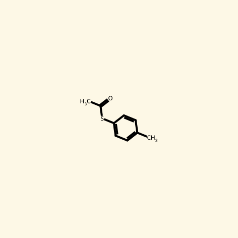 CC(=O)Sc1ccc(C)cc1